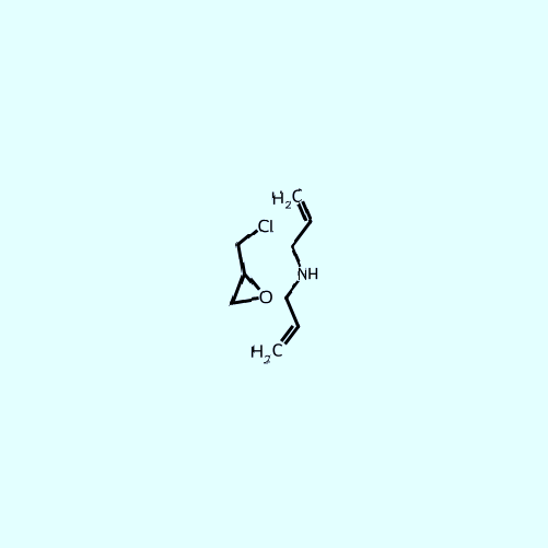 C=CCNCC=C.ClCC1CO1